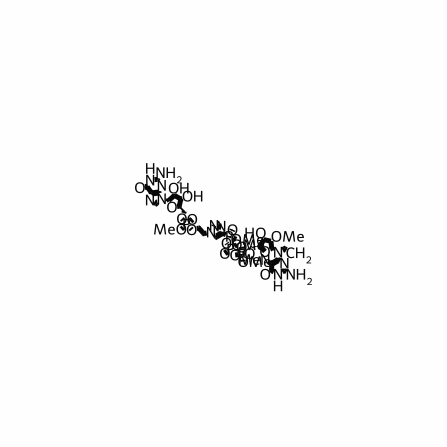 C=CN(c1nc(N)[nH]c(=O)c1NC)[C@@H]1O[C@H](COP(=O)(OC)OP(=O)(OC)OP(=O)(OC)c2cn(CCOP(=O)(OC)OC[C@H]3O[C@@H](n4cnc5c(=O)[nH]c(N)nc54)C(O)C3O)nn2)C(O)C1OC